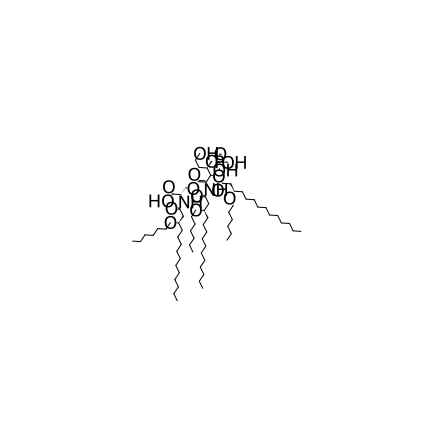 CCCCCCCCCCC[C@H](CC(=O)NC1=C(OC[C@H](NC(=O)C[C@@H](CCCCCCCCCCC)OCCCCCC)C(=O)O)OC(CO)[C@@H](OP(=O)(O)O)C1OC(=O)C[C@@H](CCCCCCCCCCC)OCCCCCC)OCCCCCC